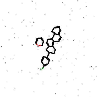 Brc1ccc(C2CCc3c(ccc4c3ccc3ccccc34)C2)cc1.C1=CCOC=C1